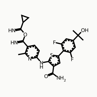 Cc1nc(Nc2sc(-c3c(F)cc(C(C)(C)O)cc3F)cc2C(N)=O)ccc1C(=N)OC(=N)C1CC1